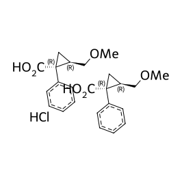 COC[C@@H]1C[C@]1(C(=O)O)c1ccccc1.COC[C@@H]1C[C@]1(C(=O)O)c1ccccc1.Cl